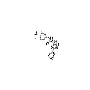 Cc1cc(NC(=O)Nc2nnc(-c3ccncc3)s2)ccc1C(C)(C)C